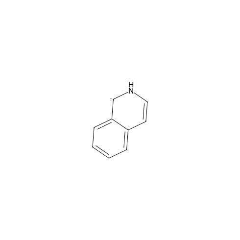 [C]1NC=Cc2ccccc21